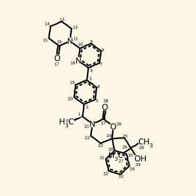 C[C@@H](c1ccc(-c2cccc(N3CCCCC3=O)n2)cc1)N1CCC(CC(C)(C)O)(c2ccccc2)OC1=O